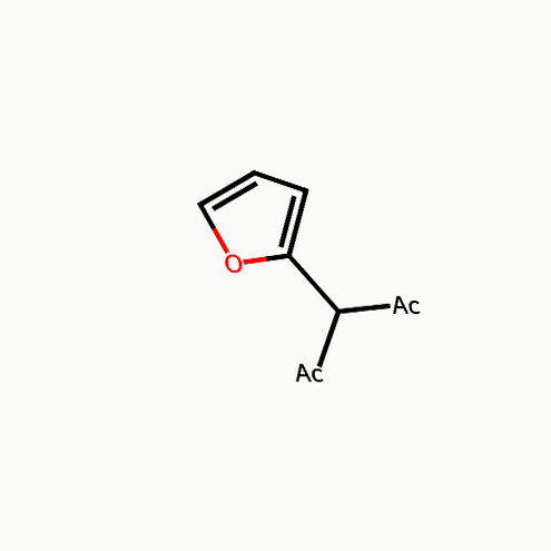 CC(=O)C(C(C)=O)c1ccco1